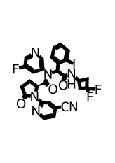 N#Cc1ccnc(N2C(=O)CC[C@H]2C(=O)N(c2cncc(F)c2)C(C(=O)NC2CC(F)(F)C2)c2ccccc2I)c1